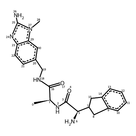 C[C@H](NC(=O)[C@H](N)C1Cc2ccccc2C1)C(=O)NCc1ccc2nc(N)n(C)c2c1